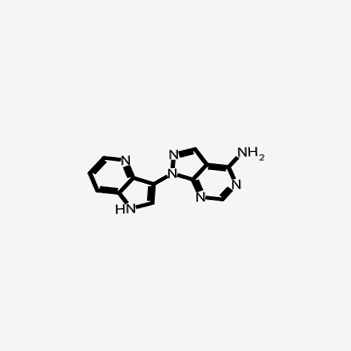 Nc1ncnc2c1cnn2-c1c[nH]c2cccnc12